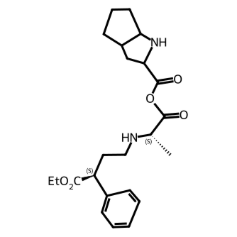 CCOC(=O)[C@@H](CCN[C@@H](C)C(=O)OC(=O)C1CC2CCCC2N1)c1ccccc1